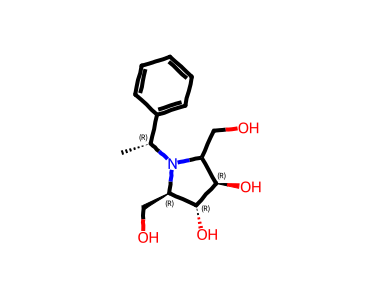 C[C@H](c1ccccc1)N1C(CO)[C@@H](O)[C@H](O)[C@H]1CO